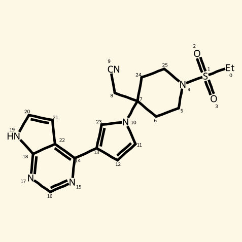 CCS(=O)(=O)N1CCC(CC#N)(n2ccc(-c3ncnc4[nH]ccc34)c2)CC1